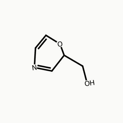 OCC1C=NC=CO1